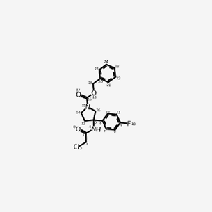 O=C(CCl)NC1(c2ccc(F)cc2)CCN(C(=O)OCc2ccccc2)C1